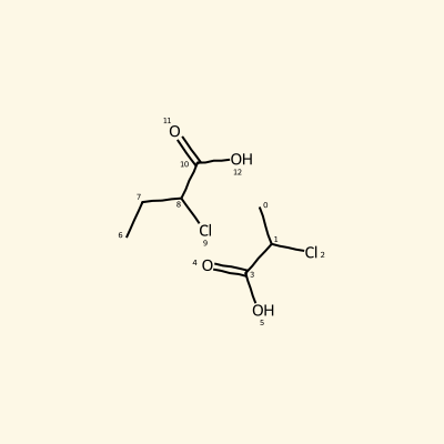 CC(Cl)C(=O)O.CCC(Cl)C(=O)O